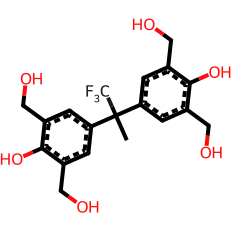 CC(c1cc(CO)c(O)c(CO)c1)(c1cc(CO)c(O)c(CO)c1)C(F)(F)F